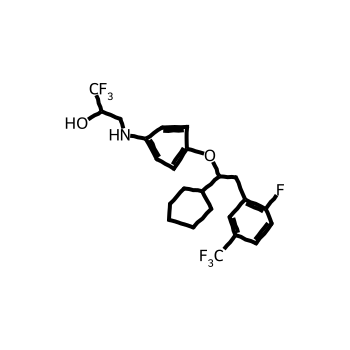 OC(CNc1ccc(OC(Cc2cc(C(F)(F)F)ccc2F)C2CCCCC2)cc1)C(F)(F)F